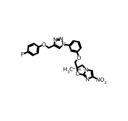 C[C@]1(COc2cccc(-n3cc(COc4ccc(F)cc4)nn3)c2)Cn2cc([N+](=O)[O-])nc2O1